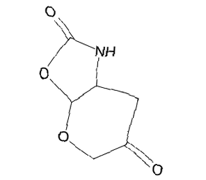 O=C1COC2OC(=O)NC2C1